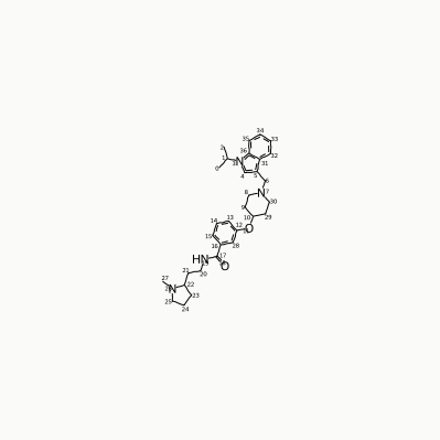 CC(C)n1cc(CN2CCC(Oc3cccc(C(=O)NCCC4CCCN4C)c3)CC2)c2ccccc21